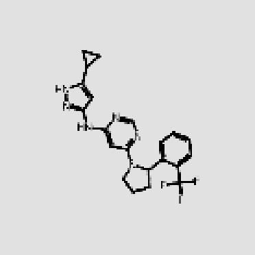 FC(F)(F)c1ccccc1C1CCCN1c1cc(Nc2cc(C3CC3)[nH]n2)ncn1